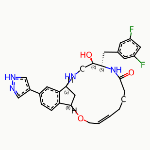 O=C1CCCC=CCO[C@@H]2C[C@H](NC[C@@H](O)[C@H](Cc3cc(F)cc(F)c3)N1)c1cc(-c3cn[nH]c3)ccc12